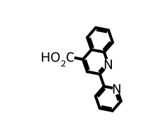 O=C(O)c1cc(-c2ccccn2)nc2ccccc12